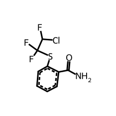 NC(=O)c1ccccc1SC(F)(F)C(F)Cl